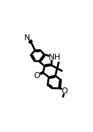 COc1ccc2c(c1)C(C)(C)c1[nH]c3cc(C#N)ccc3c1C2=O